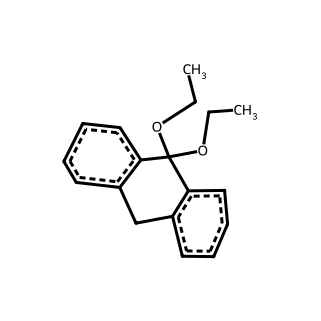 CCOC1(OCC)c2ccccc2Cc2ccccc21